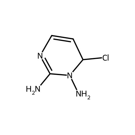 NC1=NC=CC(Cl)N1N